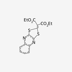 CCOC(=O)C(C(=O)OCC)=C1Sc2nc3ccccc3nc2S1